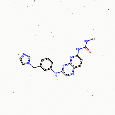 CCNC(=O)Nc1ccc2ncc(Nc3cccc(Cn4ccnc4)c3)nc2n1